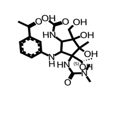 CC(=O)c1cccc(NC2C(NC(=O)O)C(O)(CO)C(C)(O)C2(NC(=O)N(C)C)[C@H](C)O)c1